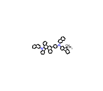 CC1(C)c2ccccc2-c2ccc(N(c3ccc(-c4cc5c6ccccc6c6c(c7ccccc7n6-c6ccc7ccccc7c6)c5c5ccccc45)cc3)c3ccc4ccccc4c3)cc21